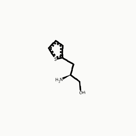 N[C@H](CO)Cc1cccs1